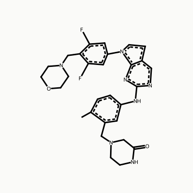 Cc1ccc(Nc2ncc3ccn(-c4cc(F)c(CN5CCOCC5)c(F)c4)c3n2)cc1CN1CCNC(=O)C1